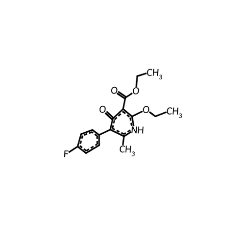 CCOC(=O)c1c(OCC)[nH]c(C)c(-c2ccc(F)cc2)c1=O